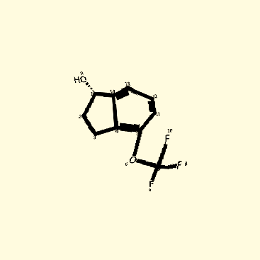 O[C@H]1CCc2c(OC(F)(F)F)cccc21